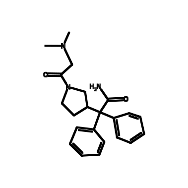 CN(C)CC(=O)N1CCC(C(C(N)=O)(c2ccccc2)c2ccccc2)C1